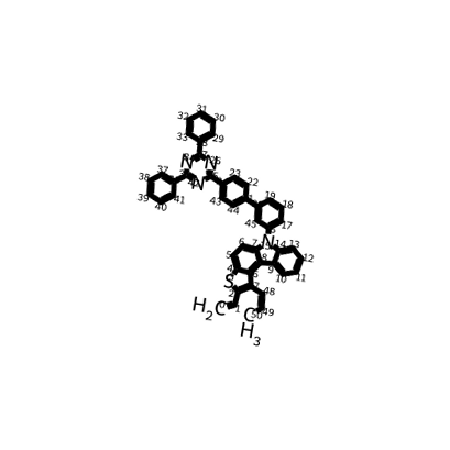 C=Cc1sc2ccc3c(c4ccccc4n3-c3cccc(-c4ccc(-c5nc(-c6ccccc6)nc(-c6ccccc6)n5)cc4)c3)c2c1/C=C\C